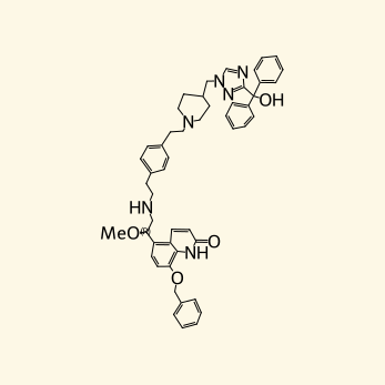 CO[C@@H](CNCCc1ccc(CCN2CCC(Cn3cnc(C(O)(c4ccccc4)c4ccccc4)n3)CC2)cc1)c1ccc(OCc2ccccc2)c2[nH]c(=O)ccc12